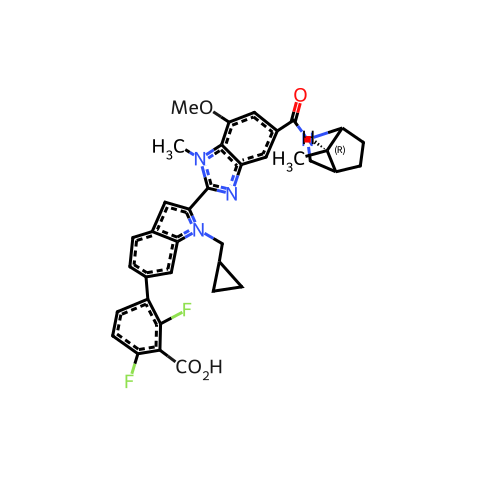 COc1cc(C(=O)N2CC3CCC2[C@@H]3C)cc2nc(-c3cc4ccc(-c5ccc(F)c(C(=O)O)c5F)cc4n3CC3CC3)n(C)c12